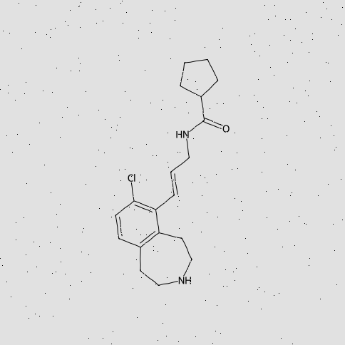 O=C(NCC=Cc1c(Cl)ccc2c1CCNCC2)C1CCCC1